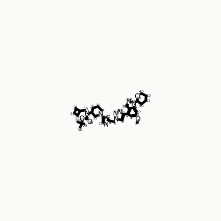 COc1cc(-c2cn(Cc3ncc(N4CCCC(N(CC5CCC5)C(=O)OC(C)(C)C)C4)s3)nn2)c2cnn(C3CCCCO3)c2c1